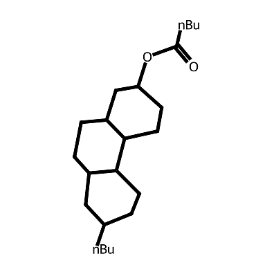 CCCCC(=O)OC1CCC2C(CCC3CC(CCCC)CCC32)C1